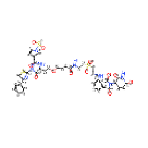 CS(=O)(=O)n1ccc(C(=O)N[C@@H](CCOCCCC(=O)NCCS(=O)(=O)CCNc2cccc3c2C(=O)N(C2CCC(=O)NC2=O)C3=O)C(=O)Nc2nc(-c3ccccc3)cs2)c1